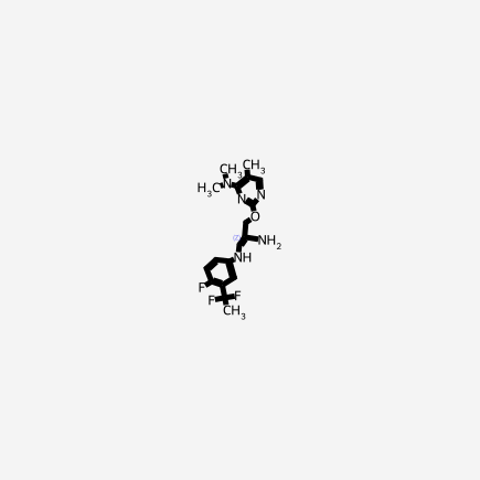 Cc1cnc(OC/C(N)=C/Nc2ccc(F)c(C(C)(F)F)c2)nc1N(C)C